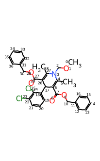 COCN1C(C)=C(C(=O)OCc2ccccc2)C(c2cccc(Cl)c2Cl)C(C(=O)OCc2ccccc2)=C1C